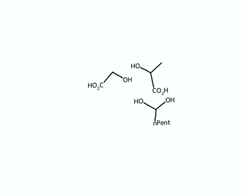 CC(O)C(=O)O.CCCCCC(O)O.O=C(O)CO